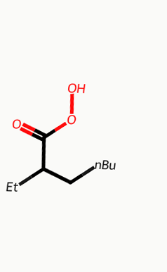 CCCCCC(CC)C(=O)OO